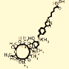 CC[C@H]1OC(=O)[C@H](C)[C@@H](O)[C@H](C)[C@@H](O[C@@H]2O[C@H](C)C[C@H](N(C)Cc3ccc(C4CN(CCCCCC(=O)NO)N=N4)cc3)[C@H]2O)[C@](C)(OC)C[C@@H](C)C(=O)[C@H](C)[C@@H](O)[C@]1(C)O